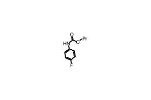 CC(C)OC(=O)Nc1ccc(F)cc1